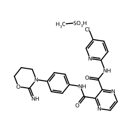 CS(=O)(=O)O.N=C1OCCCN1c1ccc(NC(=O)c2nccnc2C(=O)Nc2ccc(Cl)cn2)cc1